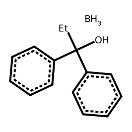 B.CCC(O)(c1ccccc1)c1ccccc1